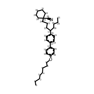 CCCCCCCCOc1ccc(-c2ccc(C(CCCC)CCCC3(C#N)CCCCC3)cc2)cc1